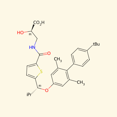 Cc1cc(O[C@@H](c2ccc(C(=O)NC[C@@H](O)C(=O)O)s2)C(C)C)cc(C)c1-c1ccc(C(C)(C)C)cc1